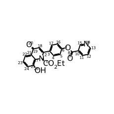 CCOC(=O)n1c(-c2ccc(OC(=O)c3cccnc3)cc2)cc(=O)c2cccc(O)c21